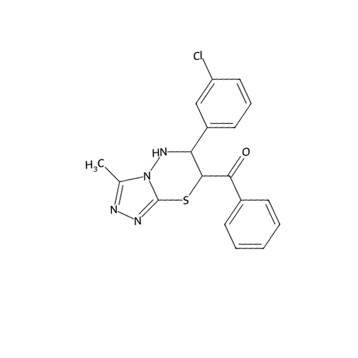 Cc1nnc2n1NC(c1cccc(Cl)c1)C(C(=O)c1ccccc1)S2